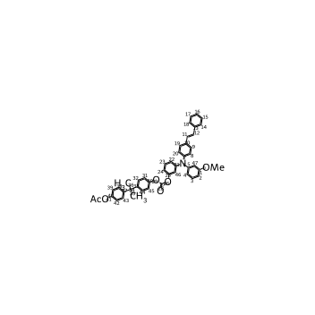 COc1cccc(N(c2ccc(C=Cc3ccccc3)cc2)c2cccc(OC(=O)Oc3ccc(C(C)(C)c4ccc(OC(C)=O)cc4)cc3)c2)c1